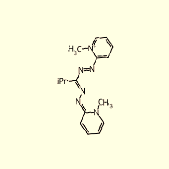 CC(C)C(N=Nc1cccc[n+]1C)=NN=c1ccccn1C